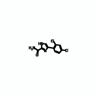 NC(=O)c1nc(-c2ccc(Cl)cc2Cl)c[nH]1